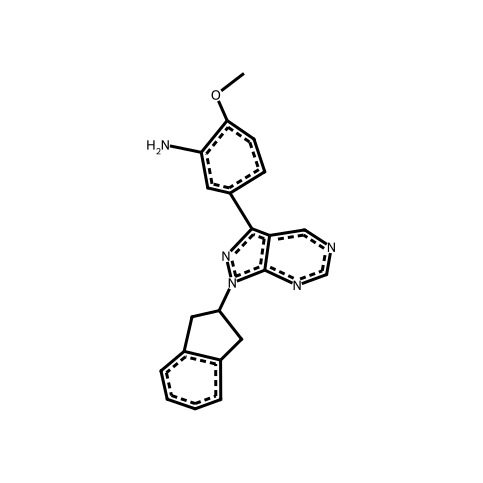 COc1ccc(-c2nn(C3Cc4ccccc4C3)c3ncncc23)cc1N